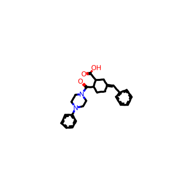 O=C(O)C1CC(=Cc2ccccc2)CCC1C(=O)N1CCN(c2ccccc2)CC1